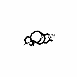 CC1CC2CC(CN1)C1CCCC3CC[C@H](C)N4CCC34C(C)C(CS1)C2